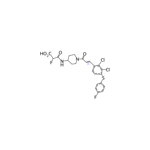 O=C(O)C(F)C(=O)NC1CCN(C(=O)/C=C/c2ccc(Sc3ccc(F)cc3)c(Cl)c2Cl)CC1